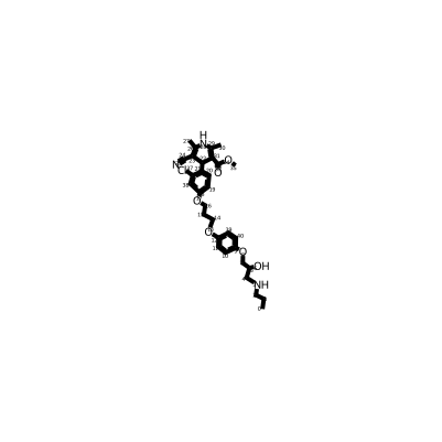 CCCNCC(O)COc1ccc(OCCCOc2ccc(C3C(C#N)=C(C)NC(C)=C3C(=O)OC)c(Cl)c2)cc1